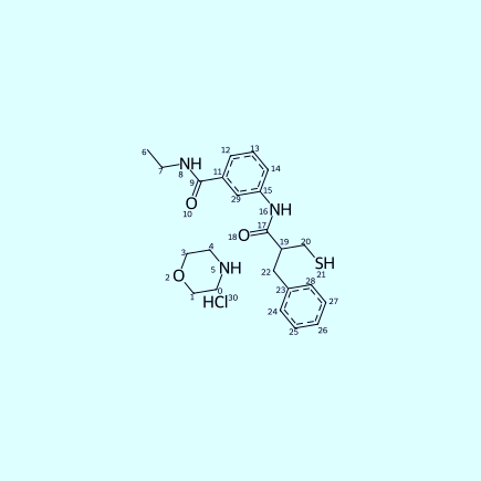 C1COCCN1.CCNC(=O)c1cccc(NC(=O)C(CS)Cc2ccccc2)c1.Cl